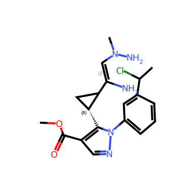 COC(=O)c1cnn(-c2cccc(C(C)Cl)c2)c1[C@@H]1CC1/C(N)=C/N(C)N